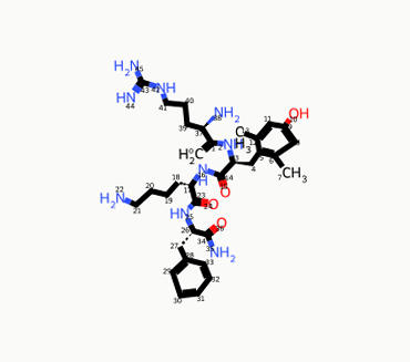 C=C(N[C@@H](Cc1c(C)cc(O)cc1C)C(=O)N[C@@H](CCCCN)C(=O)N[C@@H](Cc1ccccc1)C(N)=O)[C@H](N)CCCNC(=N)N